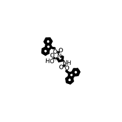 O=C(N[C@@H]1C[C@@H](C(=O)O)N(C(=O)OCC2c3ccccc3-c3ccccc32)C1)OCC1c2ccccc2-c2ccccc21